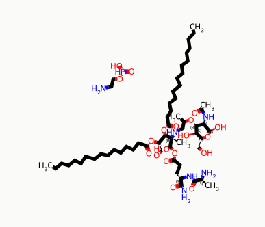 CCCCCCCCCCCCCCCC(=O)OC([C@H](CO)OC(=O)CCCCCCCCCCCCCCC)[C@@](C)(NCC(C)O[C@H]1[C@H](O)[C@@H](CO)O[C@H](O)[C@@H]1NC(C)=O)C(=O)OC(=O)CC[C@H](NC(=O)[C@H](C)N)C(N)=O.NCCO[PH](=O)O